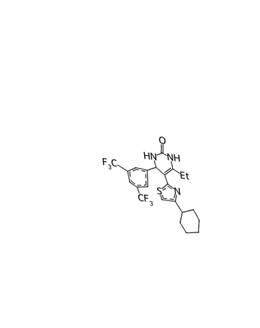 CCC1=C(c2nc(C3CCCCC3)cs2)C(c2cc(C(F)(F)F)cc(C(F)(F)F)c2)NC(=O)N1